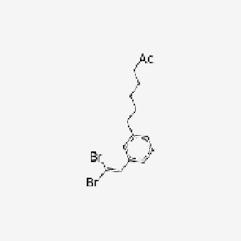 CC(=O)CCCCCc1cccc(C=C(Br)Br)c1